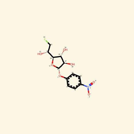 O=[N+]([O-])c1ccc(O[C@@H]2O[C@@H]([C@H](O)CF)[C@H](O)[C@H]2O)cc1